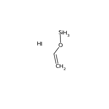 C=CO[SiH3].I